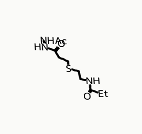 CCC(=O)NCCSCCC(=O)NNC(C)=O